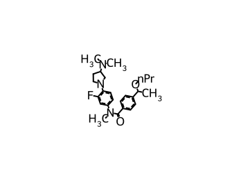 CCCOC(C)c1ccc(C(=O)N(C)c2ccc(N3CCC(N(C)C)C3)c(F)c2)cc1